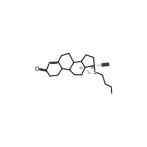 C#C[C@@]1(SCCCC)CCC2C3CCC4=CC(=O)CCC4C3CC[C@@]21C